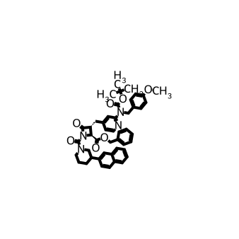 COc1ccc(CN(C(=O)OC(C)(C)C)c2cc(C[C@H]3C(=O)N(C(=O)N4CCCC(c5ccc6ccccc6c5)C4)[C@@H]3C(=O)OCc3ccccc3)ccn2)cc1